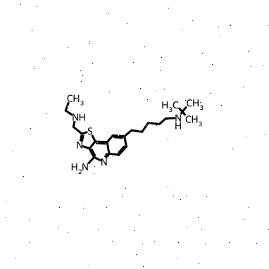 CCNCc1nc2c(N)nc3ccc(CCCCCNC(C)(C)C)cc3c2s1